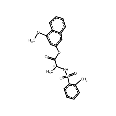 COc1cc(OC(=O)[C@H](C)NS(=O)(=O)c2ccccc2C)cc2ccccc12